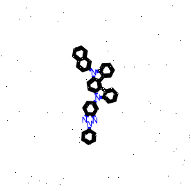 c1ccc(-n2nc3ccc(-n4c5ccccc5c5c6c7ccccc7n(-c7ccc8ccccc8c7)c6ccc54)cc3n2)cc1